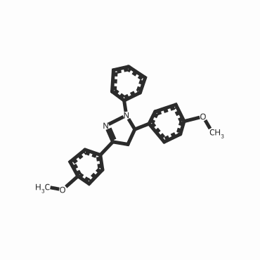 COc1ccc(C2=NN(c3ccccc3)C(c3ccc(OC)cc3)C2)cc1